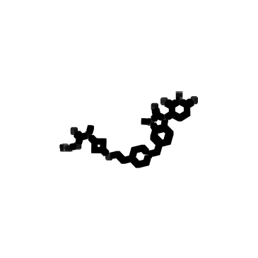 CN(C(=O)OC(C)(C)C)C1CC(OCCC2CCN(Cc3ccc4c(c3)n(C)c(=O)n4C3CCC(=O)NC3=O)CC2)C1